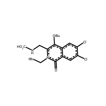 CC(C)COc1c(CNC(=O)O)n(CC(C)(C)C)c(=O)c2cc(Cl)c(Cl)cc12